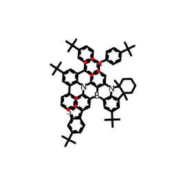 CC(C)(C)c1ccc(N(c2ccc(C(C)(C)C)cc2)c2cc3c4c(c2)N2c5c(cc(C(C)(C)C)cc5C5(C)CCCCC25C)B4c2cc4c(cc2N3c2c(-c3ccccc3)cc(C(C)(C)C)cc2-c2ccccc2)sc2cc(C(C)(C)C)ccc24)cc1